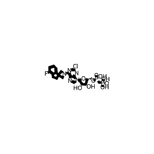 O=P(O)(O)CP(=O)(O)OC[C@H]1O[C@@H](n2cnc3c(N4CC5(CCc6c(F)cccc65)C4)nc(Cl)nc32)[C@@H](O)C1O